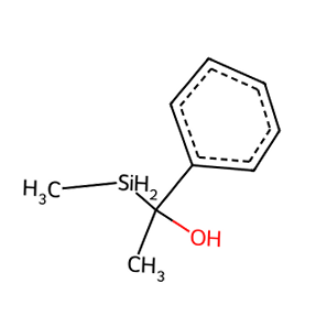 C[SiH2]C(C)(O)c1ccccc1